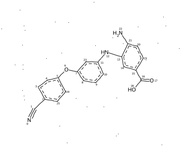 N#Cc1ccc(Oc2cccc(Nc3cc(C(=O)O)ccc3N)c2)cc1